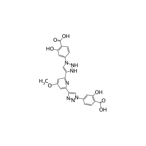 COc1cc(C2=CN(c3ccc(C(=O)O)c(O)c3)NN2)nc(-c2cn(-c3ccc(C(=O)O)c(O)c3)nn2)c1